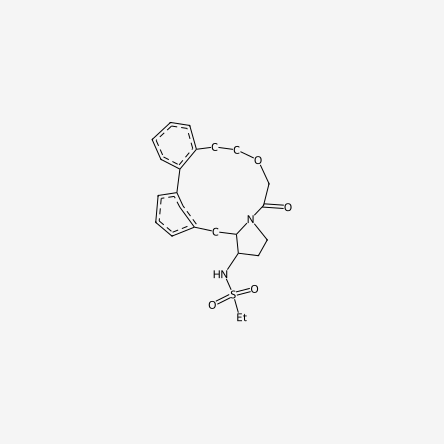 CCS(=O)(=O)NC1CCN2C(=O)COCCc3ccccc3-c3cccc(c3)CC12